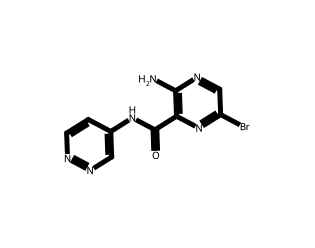 Nc1ncc(Br)nc1C(=O)Nc1ccnnc1